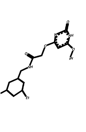 CCC1CC(CC)CC(CNC(=O)COc2cc(OC(C)C)[nH]c(=O)n2)C1